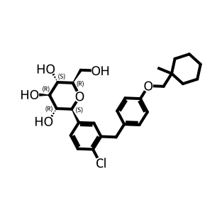 CC1(COc2ccc(Cc3cc([C@@H]4O[C@H](CO)[C@@H](O)[C@H](O)[C@H]4O)ccc3Cl)cc2)CCCCC1